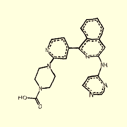 O=C(O)N1CCN(c2cc(-c3nc(Nc4ccncn4)cc4ccccc34)ccn2)CC1